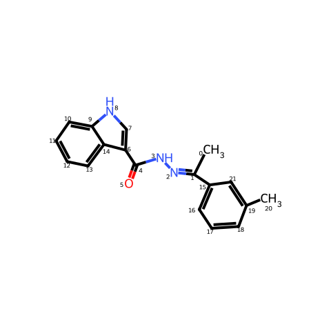 C/C(=N\NC(=O)c1c[nH]c2ccccc12)c1cccc(C)c1